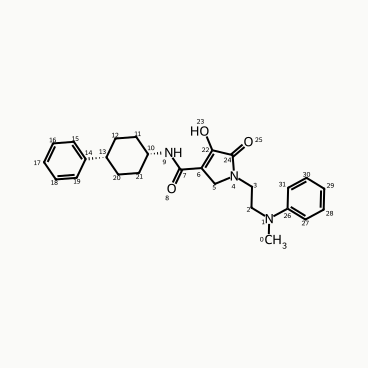 CN(CCN1CC(C(=O)N[C@H]2CC[C@@H](c3ccccc3)CC2)=C(O)C1=O)c1ccccc1